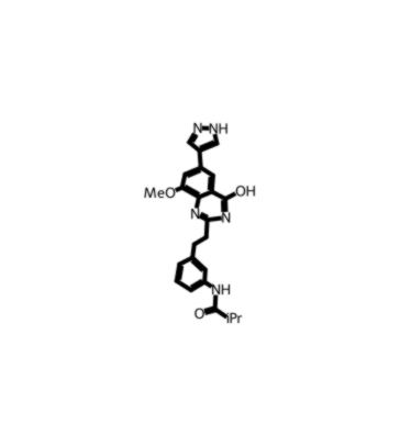 COc1cc(-c2cn[nH]c2)cc2c(O)nc(CCc3cccc(NC(=O)C(C)C)c3)nc12